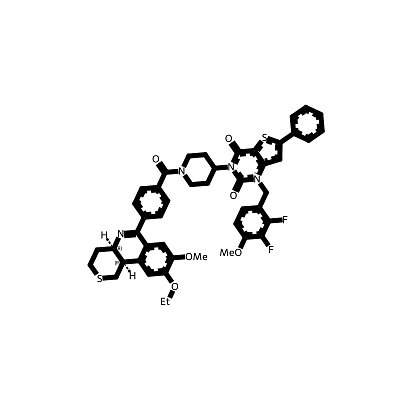 CCOc1cc2c(cc1OC)C(c1ccc(C(=O)N3CCC(n4c(=O)c5sc(-c6ccccc6)cc5n(Cc5ccc(OC)c(F)c5F)c4=O)CC3)cc1)=N[C@@H]1CCSC[C@H]21